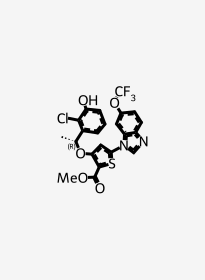 COC(=O)c1sc(-n2cnc3ccc(OC(F)(F)F)cc32)cc1O[C@H](C)c1cccc(O)c1Cl